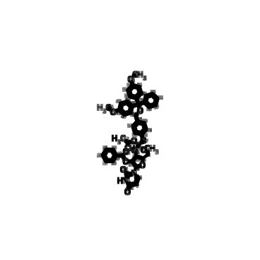 CC[C@H]1O[C@@H](n2ccc(=O)[nH]c2=O)C(OC(=O)c2ccccc2)[C@H]1OP(=O)(Oc1ccc(COC(c2ccccc2)(c2ccc(OC)cc2)c2ccc(OC)cc2)cc1)OC(C)C